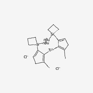 CCCC[Si]1(C2=CCC(C)=[C]2[Ti+2][C]2=C(C)CC=C2[Si]2(CCCC)CCC2)CCC1.[Cl-].[Cl-]